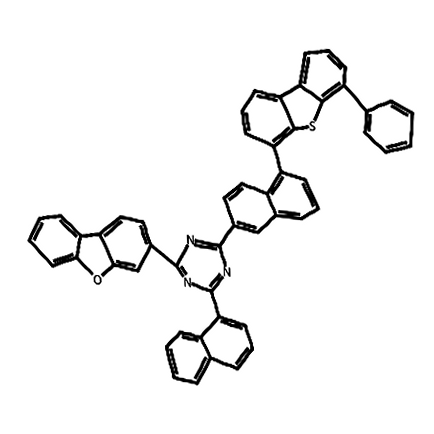 c1ccc(-c2cccc3c2sc2c(-c4cccc5cc(-c6nc(-c7ccc8c(c7)oc7ccccc78)nc(-c7cccc8ccccc78)n6)ccc45)cccc23)cc1